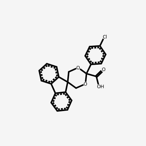 O=C(O)C1(c2ccc(Cl)cc2)OCC2(CO1)c1ccccc1-c1ccccc12